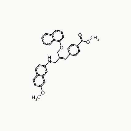 COC(=O)c1ccc(C=C(CNc2ccc3ccc(OC)cc3c2)COc2cccc3ccccc23)cc1